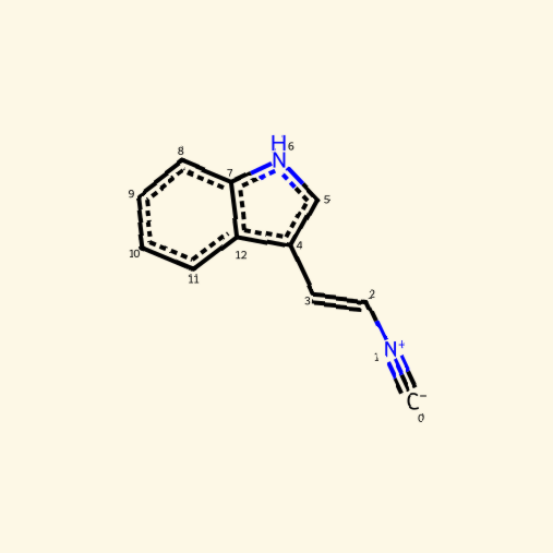 [C-]#[N+]C=Cc1c[nH]c2ccccc12